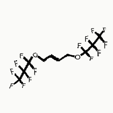 FC(F)(F)C(F)(F)C(F)(F)OCC=CCOC(F)(F)C(F)(F)C(F)(F)F